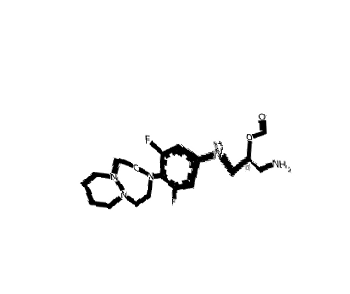 NC[C@@H](CNc1cc(F)c(N2CCN3CCCCN3CC2)c(F)c1)OC=O